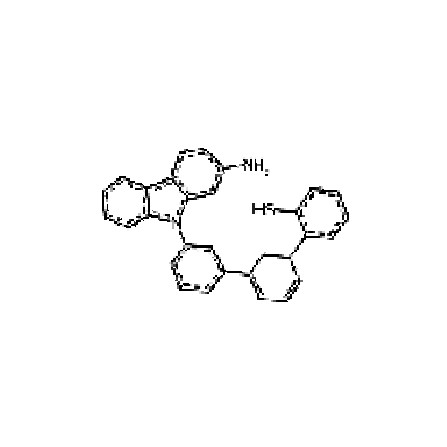 Nc1ccc2c3ccccc3n(-c3cccc(C4=CC=CC(c5ccccc5S)C4)c3)c2c1